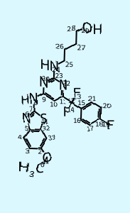 COc1ccc2nc(Nc3cc(C(F)(F)c4ccc(F)cc4)nc(NCCCCO)n3)sc2c1